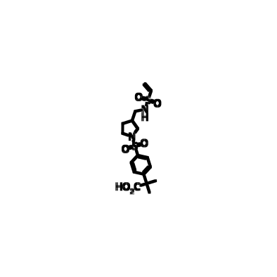 C=CS(=O)(=O)NCC1CCN(S(=O)(=O)c2ccc(C(C)(C)C(=O)O)cc2)C1